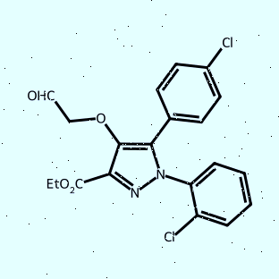 CCOC(=O)c1nn(-c2ccccc2Cl)c(-c2ccc(Cl)cc2)c1OCC=O